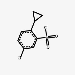 O=S(=O)(Cl)c1cc(Cl)ccc1C1CC1